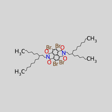 CCCCCCCCC(CCCCCC)CCN1C(=O)c2c(Br)c(Br)c3c4c(c(Br)c(Br)c(c24)C1=O)C(=O)N(CCC(CCCCCC)CCCCCCCC)C3=O